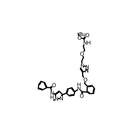 Cn1nc(-c2ccc(NC(=O)c3ccccc3COCc3cn(CCOCCNC(=O)OC(C)(C)C)nn3)cc2)cc1NC(=O)c1ccccc1